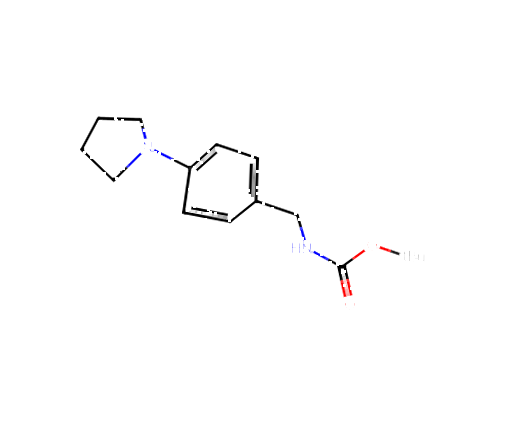 CC(C)(C)OC(=O)NCc1ccc(N2CCCC2)cc1